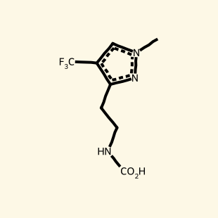 Cn1cc(C(F)(F)F)c(CCNC(=O)O)n1